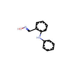 O/N=C/c1ccccc1Nc1ccccc1